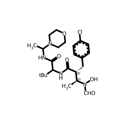 CC(NC(=O)C(NC(=O)[C@H](Cc1ccc(Cl)cc1)[C@H](C)N(O)C=O)C(C)(C)C)N1CCOCC1